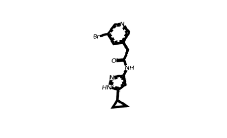 O=C(Cc1cncc(Br)c1)Nc1cc(C2CC2)[nH]n1